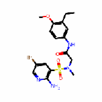 CCc1cc(NC(=O)CN(C)S(=O)(=O)c2cc(Br)cnc2N)ccc1OC